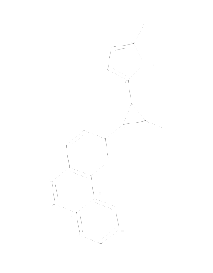 Cc1ccc(C2C(C)C2C2C=Cc3ccc4ccccc4c3O2)s1